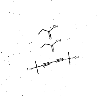 CC(C)(O)C#CC#CC(C)(C)O.CCC(=O)O.CCC(=O)O